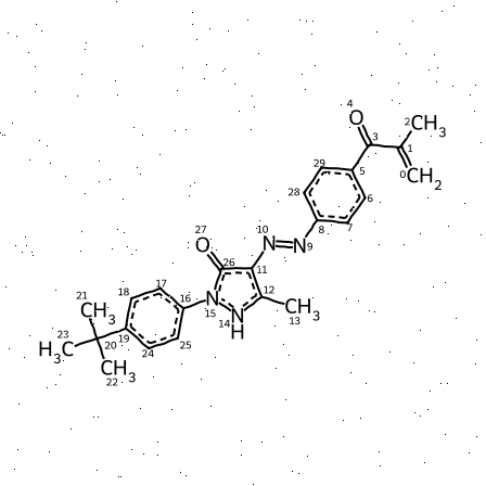 C=C(C)C(=O)c1ccc(/N=N/c2c(C)[nH]n(-c3ccc(C(C)(C)C)cc3)c2=O)cc1